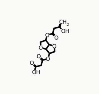 C=C(O)CC(=O)OC1COC2C(OC(=O)CC(=O)O)COC12